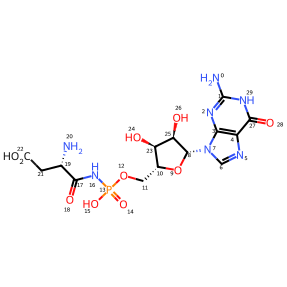 Nc1nc2c(ncn2[C@@H]2O[C@H](COP(=O)(O)NC(=O)[C@@H](N)CC(=O)O)[C@@H](O)[C@H]2O)c(=O)[nH]1